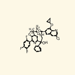 C[C@]1(C(N)=O)COc2c1cc([C@@](O)(CNC(=O)c1cc(OC3CC3)c3ncc(Cl)cc3c1)c1ccccc1)nc2-c1cc(F)c(F)cc1F